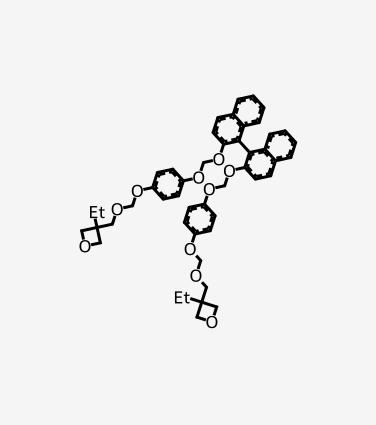 CCC1(COCOc2ccc(OCOc3ccc4ccccc4c3-c3c(OCOc4ccc(OCOCC5(CC)COC5)cc4)ccc4ccccc34)cc2)COC1